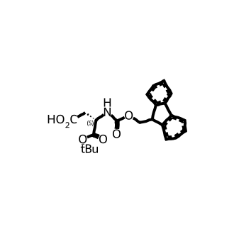 CC(C)(C)OC(=O)[C@H](CC(=O)O)NC(=O)OCC1c2ccccc2-c2ccccc21